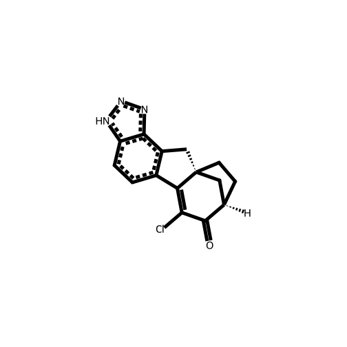 O=C1C(Cl)=C2c3ccc4[nH]nnc4c3C[C@@]23CC[C@@H]1C3